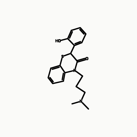 CN(C)CCCN1C(=O)C(c2ccccc2O)Sc2ccccc21